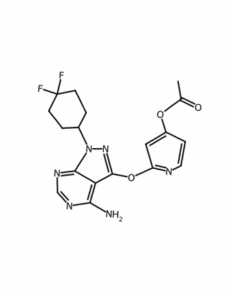 CC(=O)Oc1ccnc(Oc2nn(C3CCC(F)(F)CC3)c3ncnc(N)c23)c1